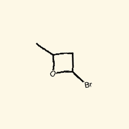 CC1CC(Br)O1